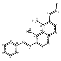 CN=Nc1ccc2ccc(N=Nc3ccccc3)c(O)c2c1N